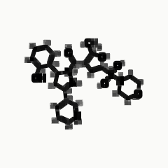 Cc1oc(S(=O)(=O)N2CCOCC2)cc1C(=O)N1N=C(c2cccnc2)CC1c1ccccc1O